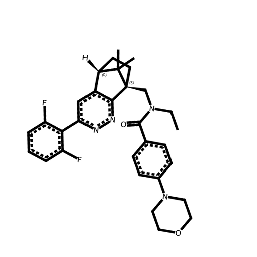 CCN(C[C@@]12CC[C@@H](c3cc(-c4c(F)cccc4F)nnc31)C2(C)C)C(=O)c1ccc(N2CCOCC2)cc1